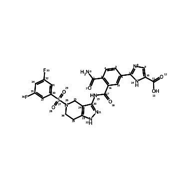 NC(=O)c1ccc(-c2ncc(C(=O)O)[nH]2)cc1C(=O)Nc1n[nH]c2c1CN(S(=O)(=O)c1cc(F)cc(F)c1)CC2